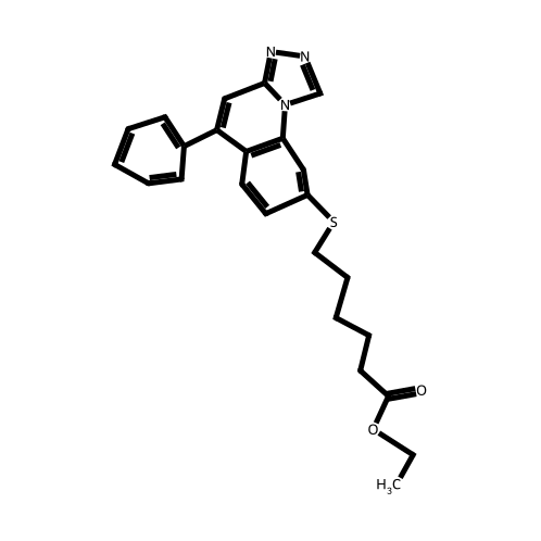 CCOC(=O)CCCCCSc1ccc2c(-c3ccccc3)cc3nncn3c2c1